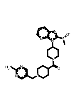 C[S+]([O-])c1nc2cccnc2n1C1CCN(C(=O)C2CCN(Cc3cnc(N)nc3)CC2)CC1